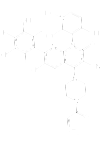 C=CC(=O)N1CCN(c2c(C#N)c(=O)n(C3=C(C)C=CN(C)C3C(C)C)c3nc(-c4c(F)c(O)c(F)c(Cl)c4F)c(Cl)cc23)CC1